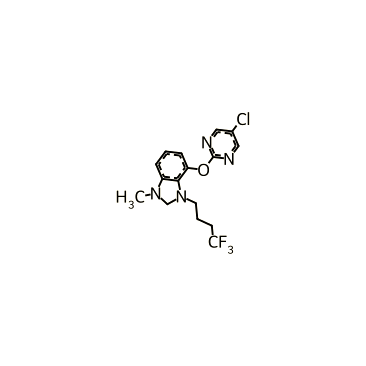 CN1CN(CCCC(F)(F)F)c2c(Oc3ncc(Cl)cn3)cccc21